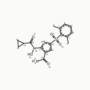 Cc1cccc(C)c1S(=O)(=O)c1cc(C(N)=O)c(N(O)C(=O)C2CC2)s1